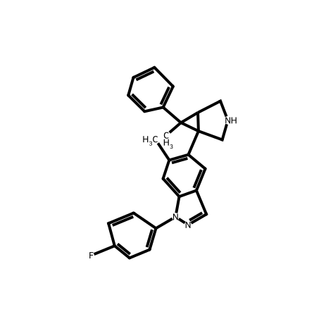 Cc1cc2c(cnn2-c2ccc(F)cc2)cc1C12CNCC1C2(C)c1ccccc1